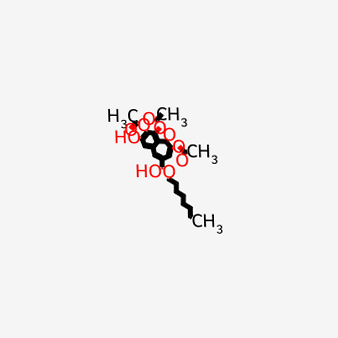 CCCCCCCCOC(O)c1cc(OC(C)=O)c(=O)c2c(OC(C)=O)c(OC(C)=O)c(O)cc2c1